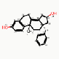 C[C@]12CC[C@]3(Cc4ccccc4)C[C@H](O)CC3=C1CCc1cc(O)ccc12